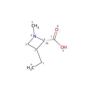 CCC1CN(C)[C@@H]1C(=O)O